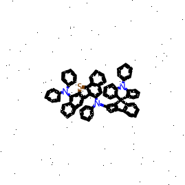 c1ccc(N2c3ccccc3C3(c4ccccc4-c4ccc(N(c5ccccc5)c5cc6ccccc6c6sc7c(N(c8ccccc8)c8ccccc8)c8ccccc8cc7c56)cc43)c3ccccc32)cc1